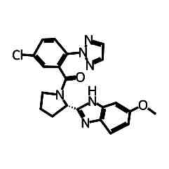 COc1ccc2nc([C@@H]3CCCN3C(=O)c3cc(Cl)ccc3-n3nccn3)[nH]c2c1